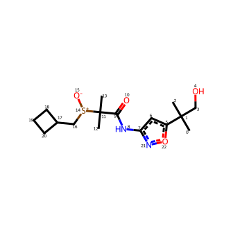 CC(C)(CO)c1cc(NC(=O)C(C)(C)[S+]([O-])CC2CCC2)no1